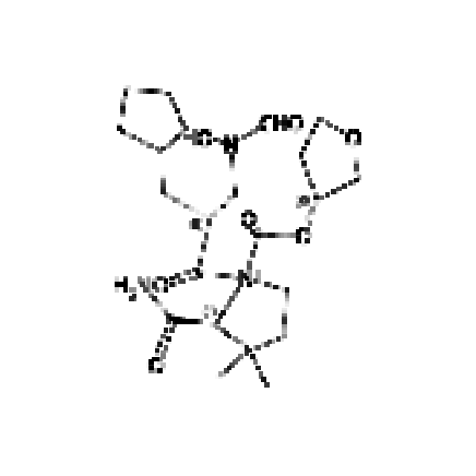 CC1(C)CC[N+](C(=O)O[C@@H]2CCOC2)(C(=O)[C@H](CC2CCCC2)CN(O)C=O)[C@@H]1C(N)=O